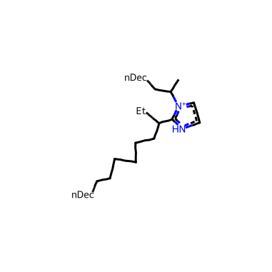 CCCCCCCCCCCCCCCCC(CC)c1[nH]cc[n+]1C(C)CCCCCCCCCCC